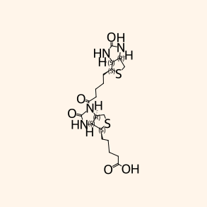 O=C(O)CCCC[C@@H]1SC[C@H]2[C@@H]1NC(=O)N2C(=O)CCCC[C@@H]1SC[C@@H]2NC(=O)N[C@@H]21